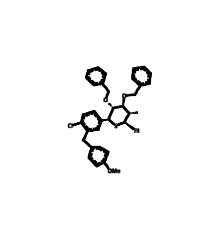 CC[C@H]1S[C@@H](c2ccc(Cl)c(Cc3ccc(OC)cc3)c2)[C@H](OCc2ccccc2)[C@@H](OCc2ccccc2)[C@@H]1C